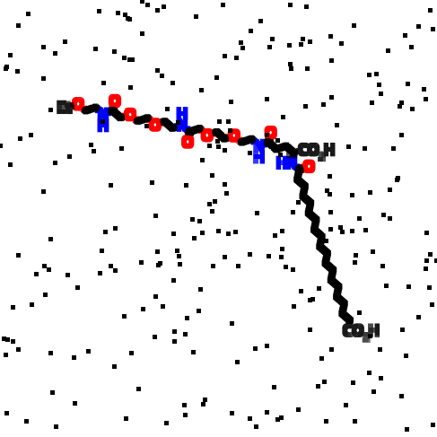 CCOCCNC(=O)COCCOCCNC(=O)COCCOCCNC(=O)CC[C@H](NC(=O)CCCCCCCCCCCCCCCCCCC(=O)O)C(=O)O